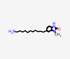 Cn1c(=O)[nH]c2ccc(CCCCCCCCCCCN)cc21